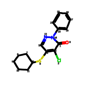 O=c1c(Cl)c(SC2CCCCC2)cnn1-c1ccccc1